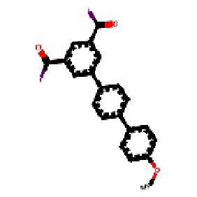 CCCOc1ccc(-c2ccc(-c3cc(C(=O)I)cc(C(=O)I)c3)cc2)cc1